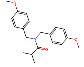 COc1ccc(CN(Cc2ccc(OC)cc2)C(=O)C(C)C)cc1